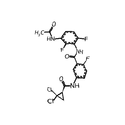 CC(=O)Nc1ccc(F)c(NC(=O)c2cc(NC(=O)[C@H]3CC3(Cl)Cl)ccc2F)c1F